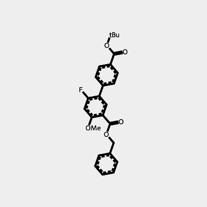 COc1cc(F)c(-c2ccc(C(=O)OC(C)(C)C)cc2)cc1C(=O)OCc1ccccc1